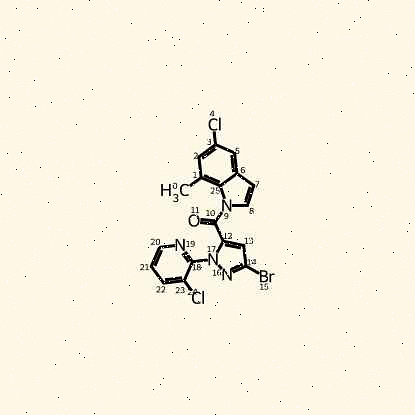 Cc1cc(Cl)cc2ccn(C(=O)c3cc(Br)nn3-c3ncccc3Cl)c12